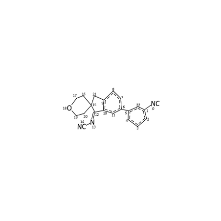 [C-]#[N+]c1cccc(-c2ccc3c(c2)/C(=N/C#N)C2(CCOCC2)C3)c1